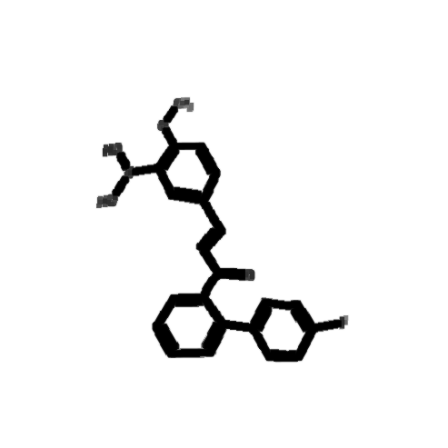 COc1ccc(C=CC(=O)c2ccccc2-c2ccc(F)cc2)cc1B(O)O